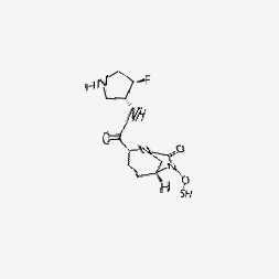 O=C(N[C@@H]1CNC[C@H]1F)[C@@H]1CC[C@@H]2CN1C(=O)N2OS